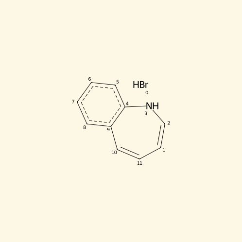 Br.C1=CNc2ccccc2C=C1